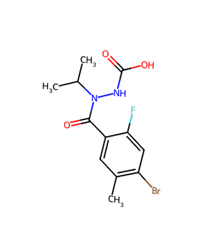 Cc1cc(C(=O)N(NC(=O)O)C(C)C)c(F)cc1Br